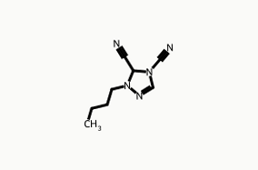 CCCCN1N=CN(C#N)C1C#N